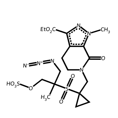 CCOC(=O)c1nn(C)c2c1CCN(CC1(S(=O)(=O)C(C)(CN=[N+]=[N-])COS(=O)(=O)O)CC1)C2=O